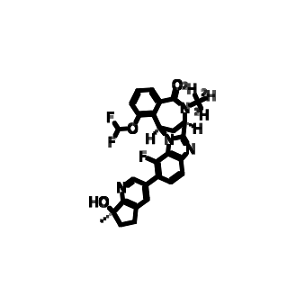 [2H]C([2H])([2H])N1C(=O)c2cccc(OC(F)F)c2[C@H]2C[C@@H]1c1nc3ccc(-c4cnc5c(c4)CC[C@@]5(C)O)c(F)c3n12